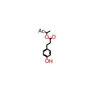 CC(=O)C(C)OC(=O)CCc1ccc(O)cc1